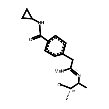 CN/C(Cc1ccc(C(=O)NC2CC2)cc1)=N\C(C)[C@H](C)Cl